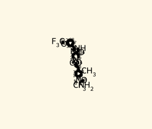 Cc1cc(N(CC(F)(F)F)C(N)=O)ccc1C=CS(=O)(=O)N1CCC2(CC1)N=C(c1cccc(OC(F)(F)F)c1)NC2=O